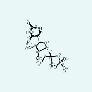 CCC(CF)(C[C@H]1O[C@@H](c2c[nH]c(=O)[nH]c2=O)[C@H](O)[C@@H]1O)OP(=O)(O)O